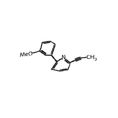 CC#Cc1cccc(-c2cccc(OC)c2)n1